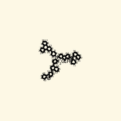 CC1(C)c2cc(N(c3ccc(-c4ccc5c6ccccc6c6ccccc6c5c4)cc3)c3ccc(-c4ccc(-c5ccc6oc7ccccc7c6c5)c5ccccc45)cc3)ccc2-c2ccc(N(c3ccccc3)c3cccc4ccccc34)cc21